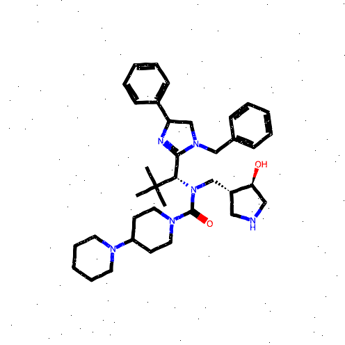 CC(C)(C)[C@H](C1=NC(c2ccccc2)CN1Cc1ccccc1)N(C[C@H]1CNC[C@@H]1O)C(=O)N1CCC(N2CCCCC2)CC1